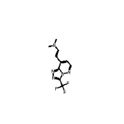 CN(C)/C=C/c1ccnn2c(C(F)(F)F)nnc12